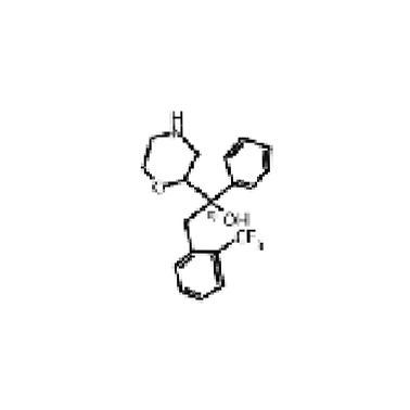 O[C@](Cc1ccccc1C(F)(F)F)(c1ccccc1)C1CNCCO1